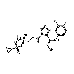 CS(=N)(CCNc1nonc1/C(=N/O)Nc1ccc(F)c(Br)c1)=NS(=O)(=O)C1CC1